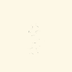 CC(C1=Cc2ccccc2C1)c1c[nH]c2ccccc12